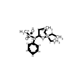 CC[Si](CC)(CC)OC(CI)N(c1ccccc1)S(C)(=O)=O